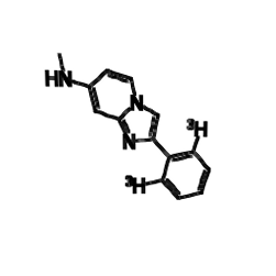 [3H]c1cccc([3H])c1-c1cn2ccc(NC)cc2n1